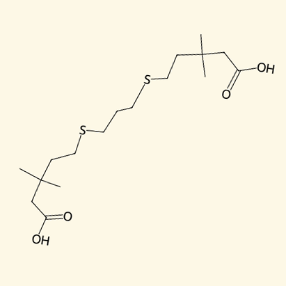 CC(C)(CCSCCCSCCC(C)(C)CC(=O)O)CC(=O)O